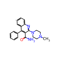 CN1CCN(c2nc3cc[c]cc3c(-c3ccccc3)c2C(N)=O)CC1